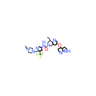 CCC1CN(C(=O)Nc2cnc(CN3CCN(CC)CC3)c(C(F)(F)F)c2)Cc2cc(Oc3ccnc4[nH]ccc34)cnc21